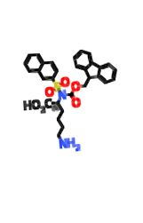 NCCCC[C@@H](C(=O)O)N(C(=O)OCC1c2ccccc2-c2ccccc21)S(=O)(=O)c1ccc2ccccc2c1